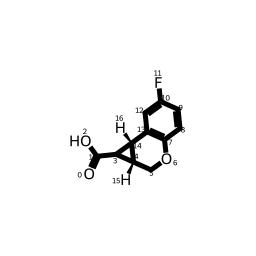 O=C(O)C1[C@H]2COc3ccc(F)cc3[C@@H]12